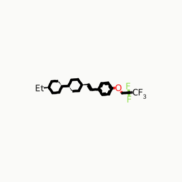 CC[C@H]1CC[C@H]([C@H]2CC[C@H](C=Cc3ccc(OCC(F)(F)C(F)(F)F)cc3)CC2)CC1